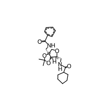 CC1(C)O[C@@H]2[C@@H](CNC(=O)C3CCCCC3)OC[C@]2(CNC(=O)c2ccccc2)O1